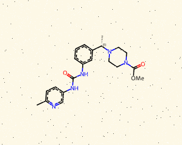 COC(=O)N1CCN([C@@H](C)c2cccc(NC(=O)Nc3ccc(C)nc3)c2)CC1